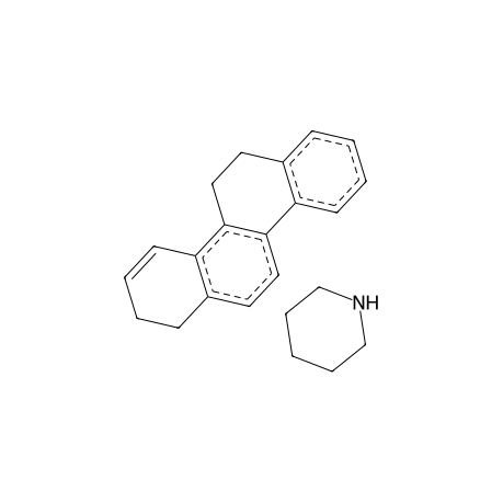 C1=Cc2c(ccc3c2CCc2ccccc2-3)CC1.C1CCNCC1